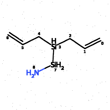 C=CC[SiH](CC=C)[SiH2]N